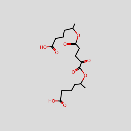 CC(CCCC(=O)O)OC(=O)CCC(=O)C(=O)OC(C)CCCC(=O)O